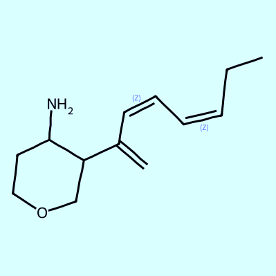 C=C(/C=C\C=C/CC)C1COCCC1N